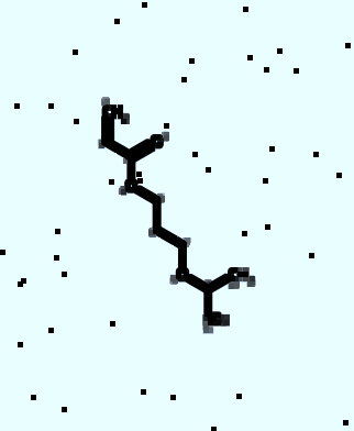 C=CC(=O)OCCCOC(C)CCCC